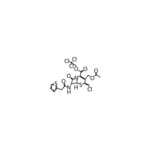 CC(=O)OCC1=C(C(=O)OCC(Cl)(Cl)Cl)N2C(=O)C(NC(=O)Cc3cccs3)[C@@H]2SC1=CCl